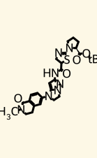 CN1CCc2cc(N3CCn4nc(NC(=O)C5CN=C(N6CCC[C@H]6C(=O)OC(C)(C)C)S5)cc43)ccc2C1=O